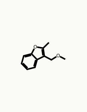 COCc1c(C)oc2ccccc12